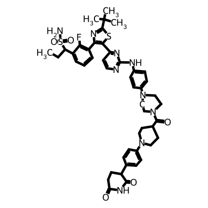 CCC(c1cccc(-c2nc(C(C)(C)C)sc2-c2ccnc(Nc3ccc(N4CCN(C(=O)C5CCN(c6ccc(C7CCC(=O)NC7=O)cc6)CC5)CC4)cc3)n2)c1F)S(N)(=O)=O